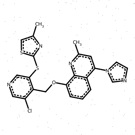 Cc1csc(Sc2cncc(Cl)c2COc2cccc3c(-n4ccnc4)cc(C)nc23)n1